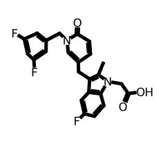 Cc1c(Cc2ccc(=O)n(Cc3cc(F)cc(F)c3)c2)c2cc(F)ccc2n1CC(=O)O